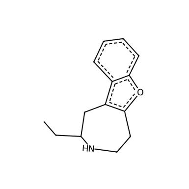 CCC1Cc2c(oc3ccccc23)CCN1